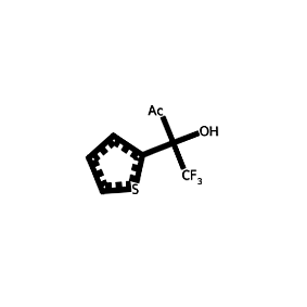 CC(=O)C(O)(c1cccs1)C(F)(F)F